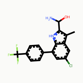 Cc1c(C(N)O)[nH]c2c(-c3ccc(C(F)(F)F)cc3)cc(Cl)cc12